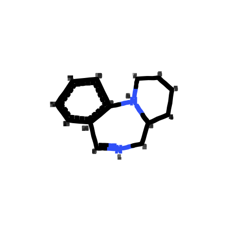 C1=NCC2CCCCN2c2ccccc21